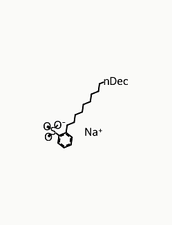 CCCCCCCCCCCCCCCCCCCc1ccccc1S(=O)(=O)[O-].[Na+]